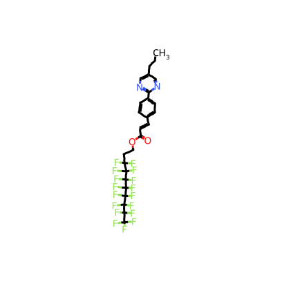 CCCc1cnc(-c2ccc(C=CC(=O)OCCC(F)(F)C(F)(F)C(F)(F)C(F)(F)C(F)(F)C(F)(F)C(F)(F)C(F)(F)F)cc2)nc1